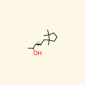 CC(O)/C=C/CC1(C)CCCC1(C)C